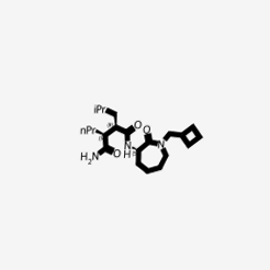 CCC[C@H](C(N)=O)[C@@H](CC(C)C)C(=O)N[C@H]1CCCCN(CC2CCC2)C1=O